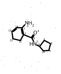 NC1=C(C(=O)NC2CCCC2)[CH]CC=C1